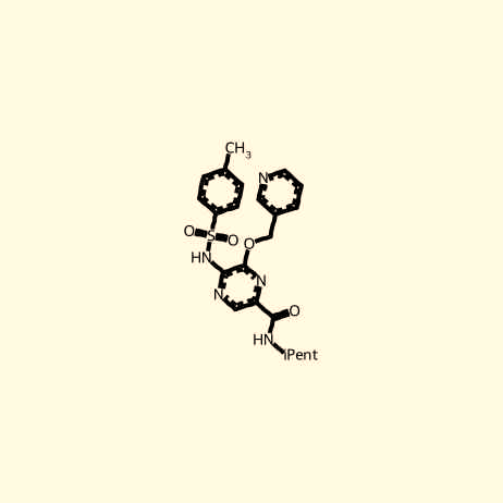 CCCC(C)NC(=O)c1cnc(NS(=O)(=O)c2ccc(C)cc2)c(OCc2cccnc2)n1